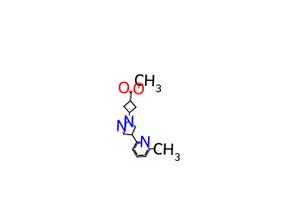 COC(=O)C1CC(N2CC(c3cccc(C)n3)C=N2)C1